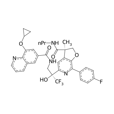 CCCNC(=O)[C@@]1(C)COc2c1cc([C@@](O)(CNC(=O)c1cc(OC3CC3)c3ncccc3c1)C(F)(F)F)nc2-c1ccc(F)cc1